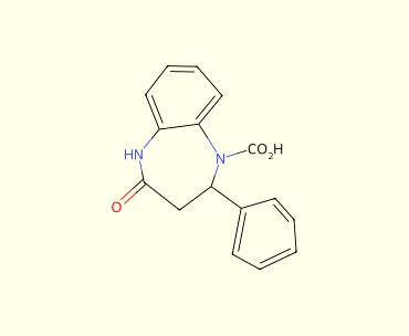 O=C1CC(c2ccccc2)N(C(=O)O)c2ccccc2N1